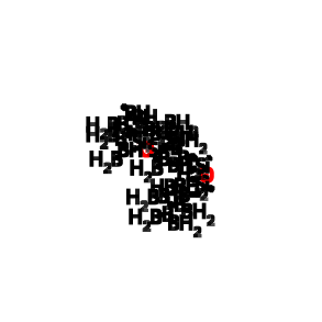 BBB(B)C(B(B)B)B(B)BC[Si](C)(C)O[Si](C)(C)CBB(B)C(B(B)B)(B(B)BB)[Si](C)(C)O[Si](C)(C)C(B(B)B)(B(B)BB)B(B)BC